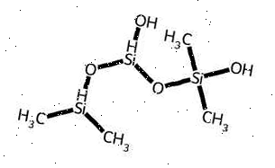 C[SiH](C)O[SiH](O)O[Si](C)(C)O